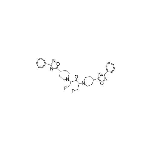 O=C(C(CF)N1CCC(c2nc(-c3ccccc3)no2)CC1)C(CF)N1CCC(c2nc(-c3ccccc3)no2)CC1